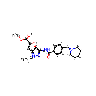 CCCOC(=O)c1cc2c(o1)c(NC(=O)c1ccc(CN3CCCCC3)cc1)nn2C(=O)OCC